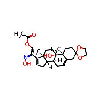 CC(=O)OC/C(=N/O)C1=CC[C@H]2[C@@H]3CC=C4CC5(CC[C@]4(C)[C@@]3(O)CC[C@]12C)OCCO5